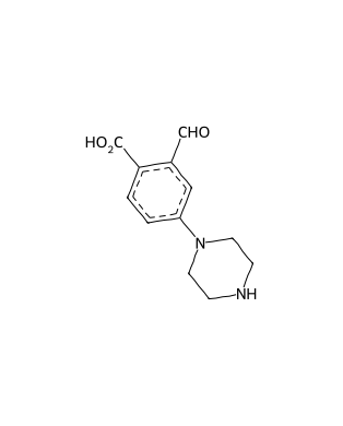 O=Cc1cc(N2CCNCC2)ccc1C(=O)O